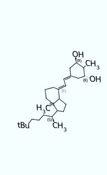 CC1[C@H](O)CC(=C/C=C2\CCC[C@@]3(C)C2CCC3[C@@H](C)CCCC(C)(C)C)C[C@H]1O